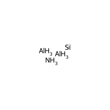 N.[AlH3].[AlH3].[Si]